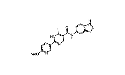 COc1ccc(C2=NCC(C(=O)Nc3ccc4[nH]ncc4c3)=C(C)N2)cn1